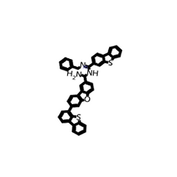 NC(N/C(=N\Cc1ccccc1)c1ccc2c(c1)sc1ccccc12)c1ccc2oc3cc(-c4cccc5c4sc4ccccc45)ccc3c2c1